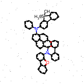 C[Si]1(C)c2ccccc2-c2ccc(N(c3ccccc3)c3ccc4ccc5c(N(c6ccccc6-c6ccccc6)c6cccc7c6oc6ccccc67)ccc6ccc3c4c65)cc21